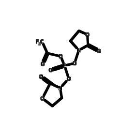 O=C1OCCN1OP(=O)(OC(=O)C(F)(F)F)ON1CCOC1=O